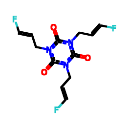 O=c1n(CC=CF)c(=O)n(CC=CF)c(=O)n1CC=CF